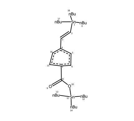 CCC[CH2][Sn]([CH]=Cc1ccc(C(=O)[O][Sn]([CH2]CCC)([CH2]CCC)[CH2]CCC)cc1)([CH2]CCC)[CH2]CCC